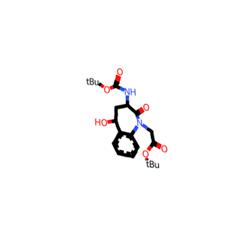 CC(C)(C)OC(=O)CN1C(=O)C(NC(=O)OC(C)(C)C)CC(O)c2ccccc21